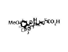 COc1ccc(S(=O)(=O)CNCCOCC(=O)O)c(C(F)(F)F)c1